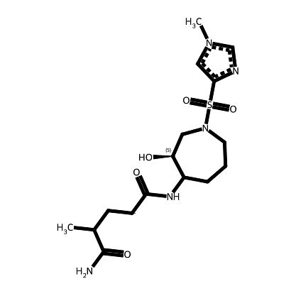 CC(C[CH]C(=O)NC1CCCN(S(=O)(=O)c2cn(C)cn2)C[C@@H]1O)C(N)=O